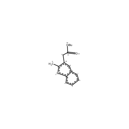 Cc1nc2ccccc2cc1CC(=O)OCC(C)C